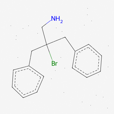 NCC(Br)(Cc1ccccc1)Cc1ccccc1